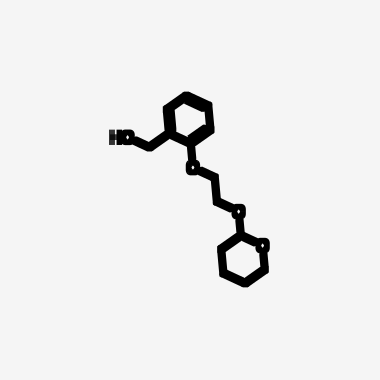 OCc1ccccc1OCCOC1CCCCO1